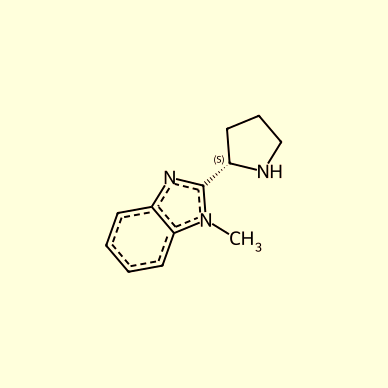 Cn1c([C@@H]2CCCN2)nc2ccccc21